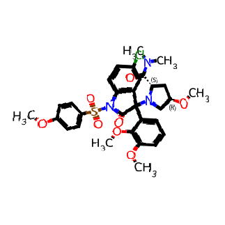 COc1ccc(S(=O)(=O)N2C(=O)C(c3cccc(OC)c3OC)(N3C[C@H](OC)C[C@H]3C(=O)N(C)C)c3cc(Cl)ccc32)cc1